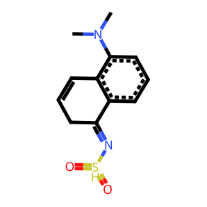 CN(C)c1cccc2c1C=CCC2=N[SH](=O)=O